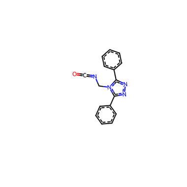 O=C=NCn1c(-c2ccccc2)nnc1-c1ccccc1